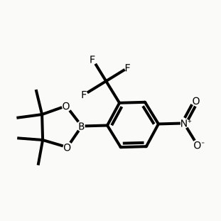 CC1(C)OB(c2ccc([N+](=O)[O-])cc2C(F)(F)F)OC1(C)C